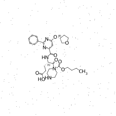 CCCCOC(=O)[N+]1(C(=O)[C@H](CCC(=O)O)NC(=O)c2cc(O[C@@H]3CCOC3)nc(-c3ccccc3)n2)CCNCC1